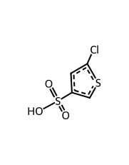 O=S(=O)(O)c1csc(Cl)c1